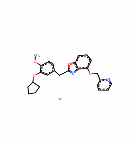 COc1ccc(Cc2nc3c(OCc4ccccn4)cccc3o2)cc1OC1CCCC1.Cl